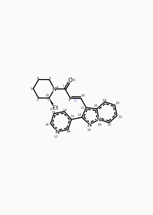 CC[C@H]1CCCCN1C(=O)/C=C/c1c(-c2cccnc2)nn2ccccc12